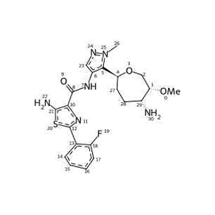 CO[C@H]1CO[C@H](c2c(NC(=O)c3nc(-c4ccccc4F)sc3N)cnn2C)CC[C@H]1N